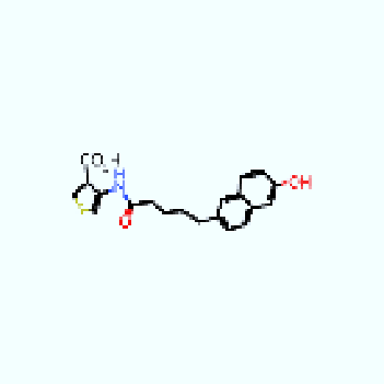 O=C(CCCCc1ccc2cc(O)ccc2c1)NC1=CSCC1C(=O)O